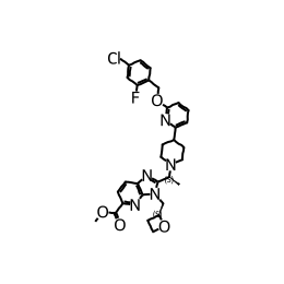 COC(=O)c1ccc2nc([C@H](C)N3CCC(c4cccc(OCc5ccc(Cl)cc5F)n4)CC3)n(C[C@@H]3CCO3)c2n1